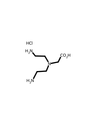 Cl.NCCN(CCN)CC(=O)O